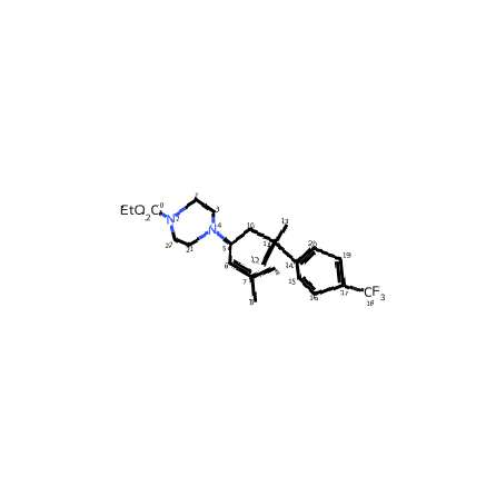 CCOC(=O)N1CCN(C(C=C(C)C)CC(C)(C)c2ccc(C(F)(F)F)cc2)CC1